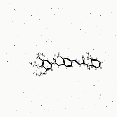 COc1cc(NCc2ccc(/C=C/C(=O)Nc3ccccc3N)cc2N)cc(OC)c1OC